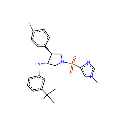 Cn1cnc(S(=O)(=O)N2C[C@H](Nc3cccc(C(C)(C)C)c3)[C@@H](c3ccc(F)cc3)C2)c1